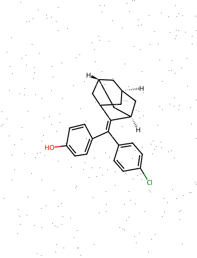 Oc1ccc(C(c2ccc(Cl)cc2)=C2C3C[C@H]4C[C@@H](C3)C[C@H]2C4)cc1